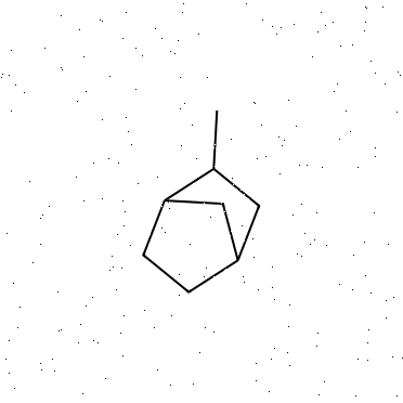 CC1CC2CCC1C2